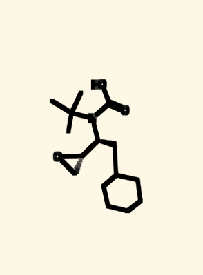 CC(C)(C)N(C(=O)O)[C@@H](CC1CCCCC1)[C@@H]1CO1